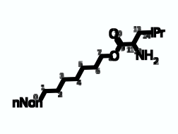 CCCCCCCCCCCCCCCCOC(=O)C(N)CC(C)C